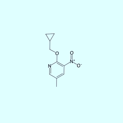 Cc1cnc(OCC2CC2)c([N+](=O)[O-])c1